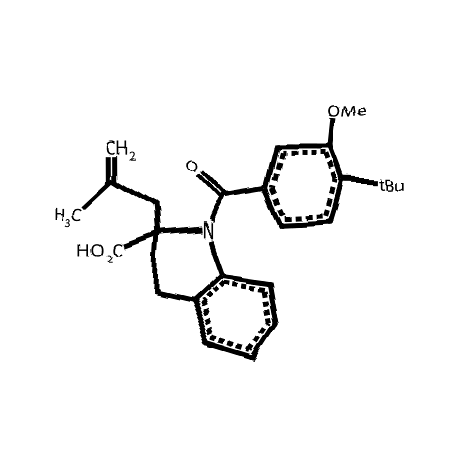 C=C(C)CC1(C(=O)O)Cc2ccccc2N1C(=O)c1ccc(C(C)(C)C)c(OC)c1